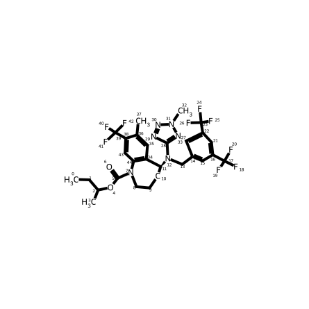 CCC(C)OC(=O)N1CCC[C@H](N(Cc2cc(C(F)(F)F)cc(C(F)(F)F)c2)c2nnn(C)n2)c2cc(C)c(C(F)(F)F)cc21